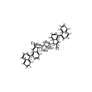 CCC[CH2][Zr]([CH2]CCC)([CH2][CH2][Zr]([CH2]CCC)([CH2]CCC)[CH]1C(CC)=Cc2c(-c3cccc4ccccc34)cccc21)[CH]1C(CC)=Cc2c(-c3cccc4ccccc34)cccc21